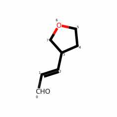 O=CC=CC1CCOC1